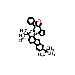 CC(C)(C)c1ccc2c(c1)Cc1c-2ccc(C(C)(C)C)[c]1[Zr+2](=[CH]Cc1ccccc1)[C]1=C(c2ccoc2)C=CC1.[Cl-].[Cl-]